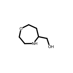 OCC1CCOCCN1